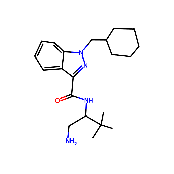 CC(C)(C)C(CN)NC(=O)c1nn(CC2CCCCC2)c2ccccc12